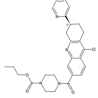 CCCOC(=O)N1CCN(C(=O)c2ccc3c(Cl)c4c(nc3c2)C[C@@H](c2ccccn2)CC4)CC1